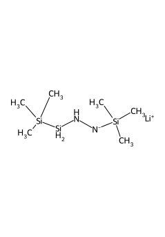 C[Si](C)(C)[N-]N[SiH2][Si](C)(C)C.[Li+]